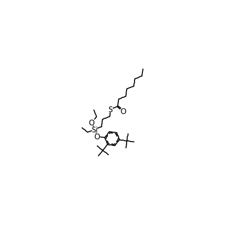 CCCCCCCC(=O)SCCC[Si](CC)(OCC)Oc1ccc(C(C)(C)C)cc1C(C)(C)C